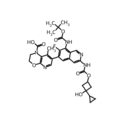 Cc1c(-c2cc3cc(NC(=O)OC4CC(O)(C5CC5)C4)ncc3c(NC(=O)OC(C)(C)C)c2F)cnc2c1N(C(=O)O)CCO2